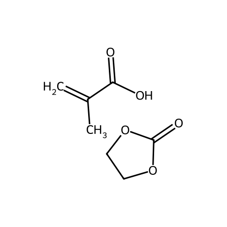 C=C(C)C(=O)O.O=C1OCCO1